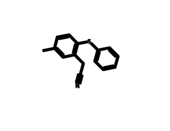 Cc1ccc(Sc2ccccc2)c(CC#N)c1